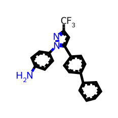 Nc1ccc(-n2nc(C(F)(F)F)cc2-c2ccc(-c3ccccc3)cc2)cc1